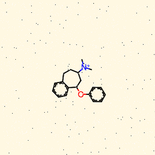 C[N+](C)C1CCc2ccccc2C(Oc2ccccc2)C1